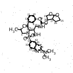 CC(C)CN(C(Cc1ccccc1)C(O)CNC(=O)OC1COC2OCCC12)S(=O)(=O)c1ccc2nc(N(C)C)sc2c1